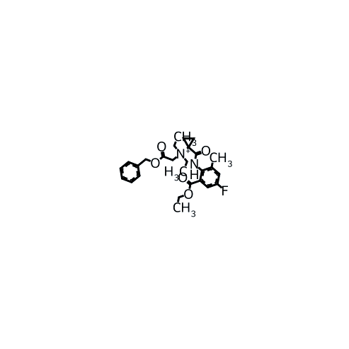 CCOC(=O)c1cc(F)cc(C)c1NC(=O)C1([N+](CC)(CC)CC(=O)OCc2ccccc2)CC1